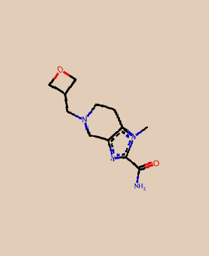 Cn1c(C(N)=O)nc2c1CCN(CC1COC1)C2